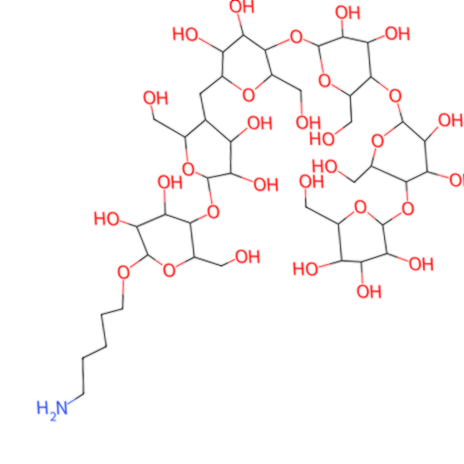 NCCCCCOC1OC(CO)C(OC2OC(CO)C(CC3OC(CO)C(OC4OC(CO)C(OC5OC(CO)C(OC6OC(CO)C(O)C(O)C6O)C(O)C5O)C(O)C4O)C(O)C3O)C(O)C2O)C(O)C1O